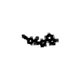 N#CN1CCC(C(=O)Nc2cn(-c3cccc4[nH]ncc34)cn2)C1